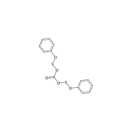 O=C(OSOc1ccccc1)OSOc1ccccc1